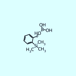 C[Si](C)(C)c1ccccc1F.OB(O)O